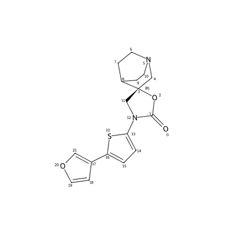 O=C1O[C@]2(CN3CCC2CC3)CN1c1ccc(-c2ccoc2)s1